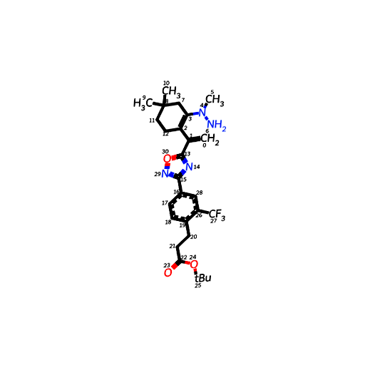 C=C(C1=C(N(C)N)CC(C)(C)CC1)c1nc(-c2ccc(CCC(=O)OC(C)(C)C)c(C(F)(F)F)c2)no1